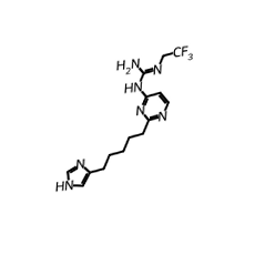 NC(=NCC(F)(F)F)Nc1ccnc(CCCCCc2c[nH]cn2)n1